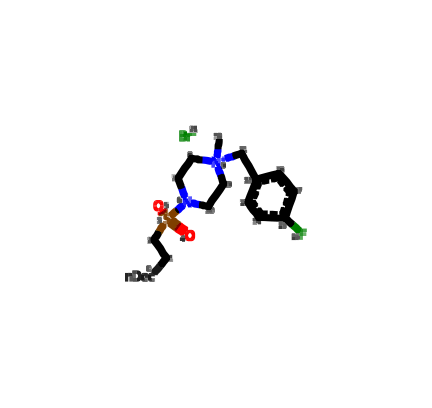 CCCCCCCCCCCCS(=O)(=O)N1CC[N+](C)(Cc2ccc(F)cc2)CC1.[Br-]